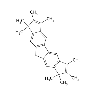 CC1=C(C)C(C)(C)c2cc3c(cc21)-c1cc2c(cc1C3)C(C)(C)C(C)=C2C